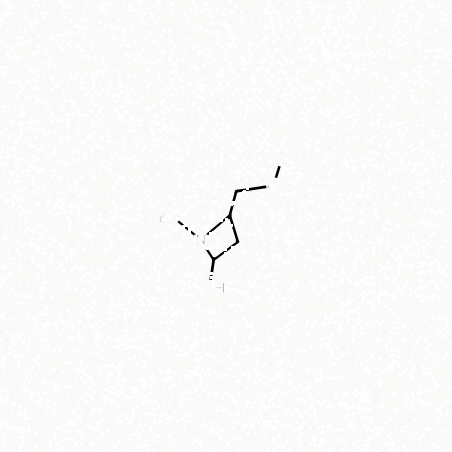 CCOCC1CC(C)N1C(C)C